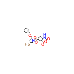 O=c1[nH]c2ccc(S(=O)(=O)N3CC(S)CC3COCc3ccccc3)cc2c(=O)o1